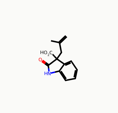 C=C(C)CC1(C(=O)O)C(=O)Nc2ccccc21